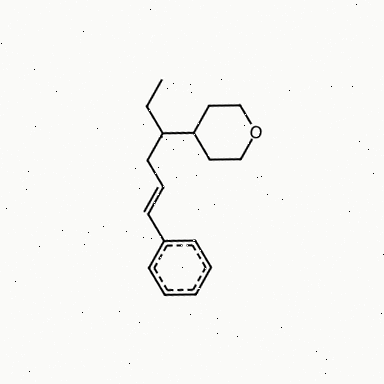 CC[C](CC=Cc1ccccc1)C1CCOCC1